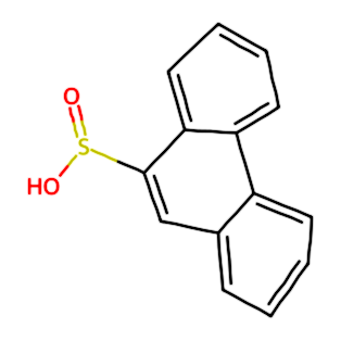 O=S(O)c1cc2ccccc2c2ccccc12